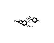 COc1cc2sc(Cl)nc2cc1OS(=O)(=O)c1ccc(C)cc1